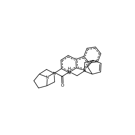 O=C(CN1C2CCC1CN(c1ccn3c(n1)nc1ccccc13)C2)NCC1CC2C=CC1C2